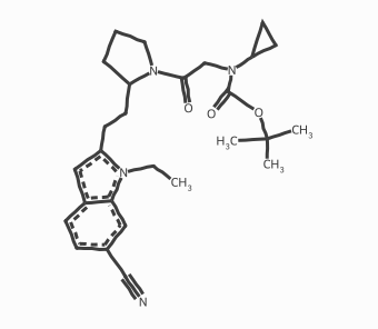 CCn1c(CCC2CCCN2C(=O)CN(C(=O)OC(C)(C)C)C2CC2)cc2ccc(C#N)cc21